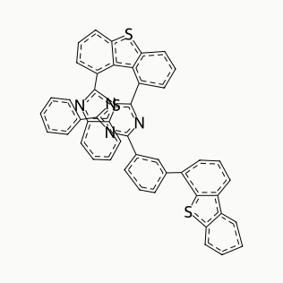 c1ccc(-c2nc(-c3cccc(-c4cccc5c4sc4ccccc45)c3)nc(-c3cccc4sc5cccc(-c6nc7ccccc7s6)c5c34)n2)cc1